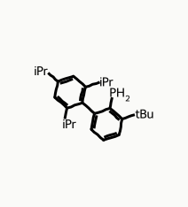 CC(C)c1cc(C(C)C)c(-c2cccc(C(C)(C)C)c2P)c(C(C)C)c1